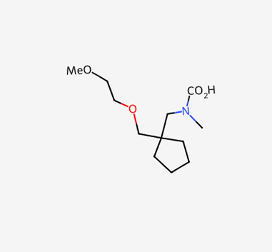 COCCOCC1(CN(C)C(=O)O)CCCC1